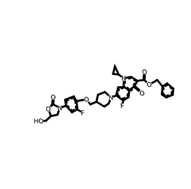 O=C(OCc1ccccc1)c1cn(C2CC2)c2cc(N3CCC(COc4ccc(N5CC(CO)OC5=O)cc4F)CC3)c(F)cc2c1=O